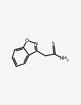 NC(=S)Cc1noc2ccccc12